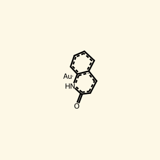 O=c1ccc2ccccc2[nH]1.[Au]